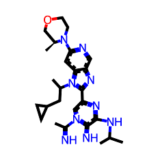 CC(=N)n1cc(-c2nc3cnc(N4CCOC[C@@H]4C)cc3n2C(C)CC2CC2)nc(NC(C)C)c1=N